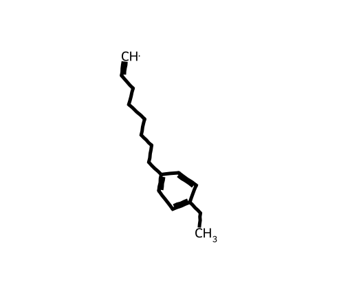 [CH]=CCCCCCCc1ccc(CC)cc1